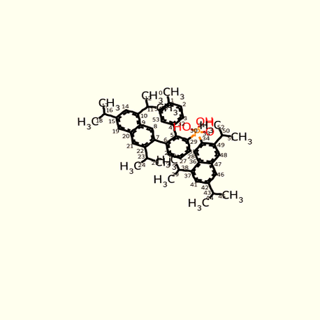 Cc1ccc(-c2c(-c3cc4c(C(C)C)cc(C(C)C)cc4cc3C(C)C)cccc2P(O)(O)(O)c2cc3c(C(C)C)cc(C(C)C)cc3cc2C(C)C)cc1